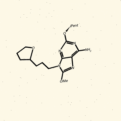 CCC[C@H](C)Oc1nc(N)c2nc(OC)n(CCCC3CCCO3)c2n1